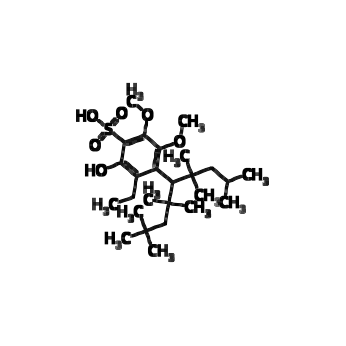 CCc1c(O)c(S(=O)(=O)O)c(OC)c(OC)c1C(C(C)(C)CC(C)C)C(C)(C)CC(C)(C)C